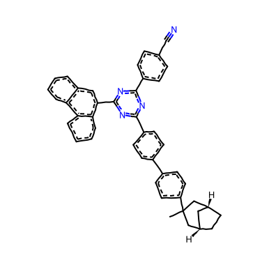 CC1(c2ccc(-c3ccc(-c4nc(-c5ccc(C#N)cc5)nc(-c5cc6ccccc6c6ccccc56)n4)cc3)cc2)C[C@@H]2CC[C@@H](C2)C1